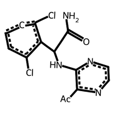 CC(=O)c1nccnc1NC(C(N)=O)c1c(Cl)cccc1Cl